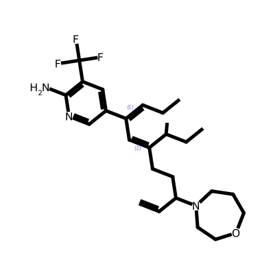 C=CC(CC/C(=C/C(=C\CC)c1cnc(N)c(C(F)(F)F)c1)C(C)CC)N1CCCOCC1